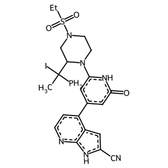 CCS(=O)(=O)N1CCN(c2cc(-c3ccnc4[nH]c(C#N)cc34)cc(=O)[nH]2)C(C(C)(P)I)C1